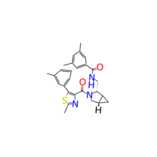 Cc1cc(C)cc(C(=O)NC[C@@H]2C3C[C@@H]3CN2C(=O)c2nc(C)sc2-c2cccc(C)c2)c1